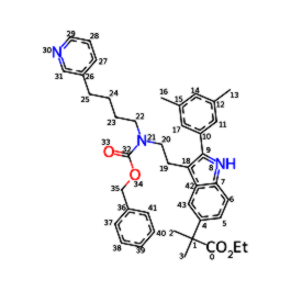 CCOC(=O)C(C)(C)c1ccc2[nH]c(-c3cc(C)cc(C)c3)c(CCN(CCCCc3cccnc3)C(=O)OCc3ccccc3)c2c1